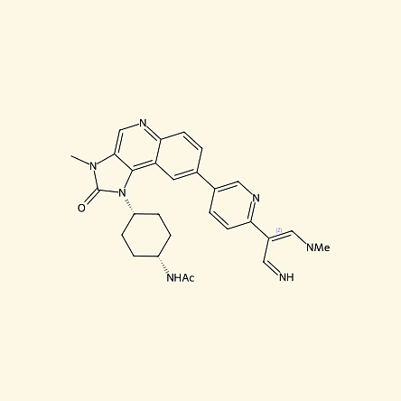 CN/C=C(\C=N)c1ccc(-c2ccc3ncc4c(c3c2)n([C@H]2CC[C@@H](NC(C)=O)CC2)c(=O)n4C)cn1